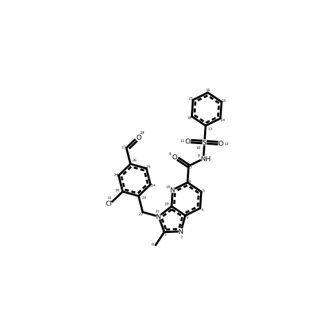 Cc1nc2ccc(C(=O)NS(=O)(=O)c3ccccc3)nc2n1Cc1ccc(C=O)cc1Cl